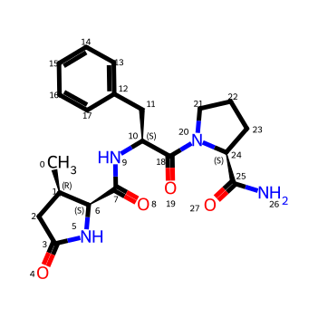 C[C@@H]1CC(=O)N[C@@H]1C(=O)N[C@@H](Cc1ccccc1)C(=O)N1CCC[C@H]1C(N)=O